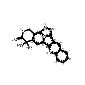 CCC1(O)C(=O)OCc2c1cc1c3nc4ccccc4cc3c3nnc2n13